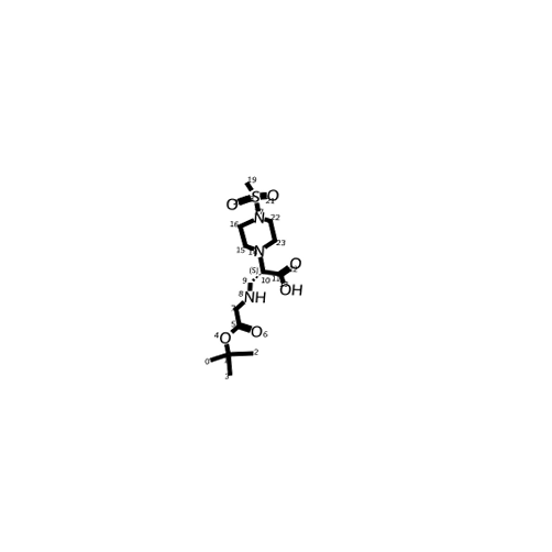 CC(C)(C)OC(=O)CNC[C@@H](C(=O)O)N1CCN(S(C)(=O)=O)CC1